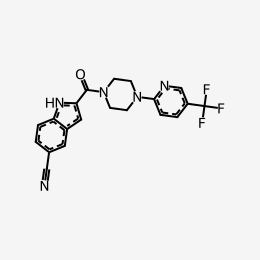 N#Cc1ccc2[nH]c(C(=O)N3CCN(c4ccc(C(F)(F)F)cn4)CC3)cc2c1